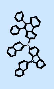 c1ccc(-c2c(-c3ccccc3)c3cc(N(c4ccc5ccccc5c4)c4ccc5c6ccccc6n(-c6ccc7ccccc7c6)c5c4)ccc3c3ccccc23)cc1